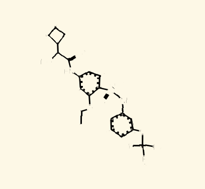 CCOc1cc(NC(=O)C(O)C2CCC2)ccc1S(=O)(=O)Nc1cccc(OC(F)(F)F)c1